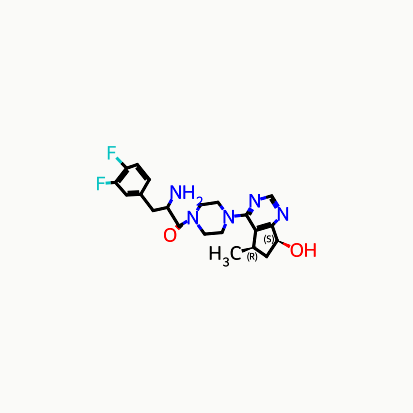 C[C@@H]1C[C@H](O)c2ncnc(N3CCN(C(=O)C(N)Cc4ccc(F)c(F)c4)CC3)c21